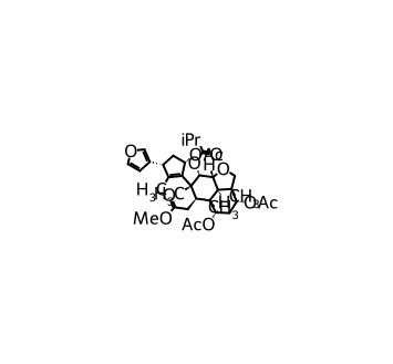 COC(=O)C[C@H]1[C@](C)(C2=C(C)[C@H](c3ccoc3)C[C@@H]2OC(C)=O)[C@H](OC(=O)C(C)C)[C@@H]2OC[C@]3(C)[C@H](OC(C)=O)C[C@H](OC(C)=O)[C@@]1(C)[C@@H]23